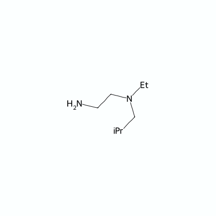 CCN(CCN)CC(C)C